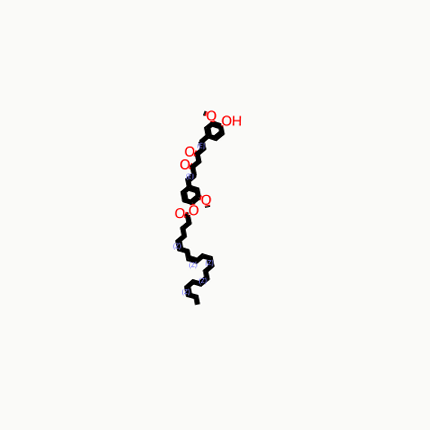 CC/C=C\C/C=C\C/C=C\C/C=C\C/C=C\CCCC(=O)Oc1ccc(/C=C/C(=O)CC(=O)/C=C/c2ccc(O)c(OC)c2)cc1OC